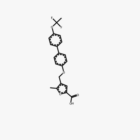 Cc1oc(C(=O)O)cc1COc1ccc(-c2ccc(OC(C)(F)F)cc2)cc1